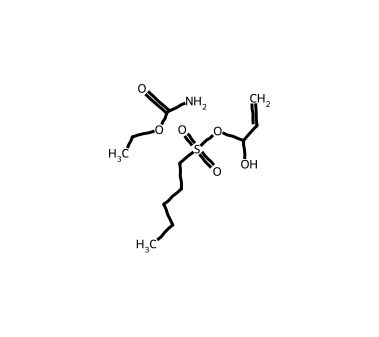 C=CC(O)OS(=O)(=O)CCCCC.CCOC(N)=O